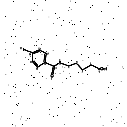 CCCCCCCCCCCCSC(=O)c1ccc(I)cc1